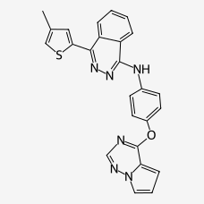 Cc1csc(-c2nnc(Nc3ccc(Oc4ncnn5cccc45)cc3)c3ccccc23)c1